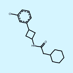 O=C(CC1CCCCC1)NC1CC(c2cccc(Cl)c2)C1